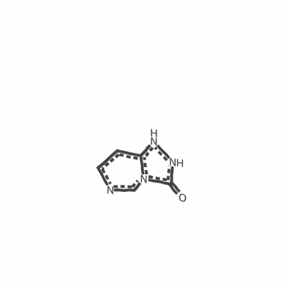 O=c1[nH][nH]c2ccnc[n+]12